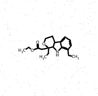 CCOC(=O)CC1(CC)OCCC2c3cccc(CC)c3NC21